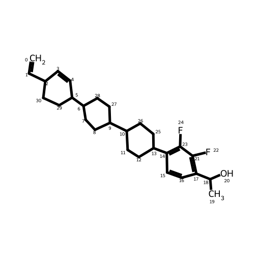 C=CC1C=CC(C2CCC(C3CCC(c4ccc(C(C)O)c(F)c4F)CC3)CC2)CC1